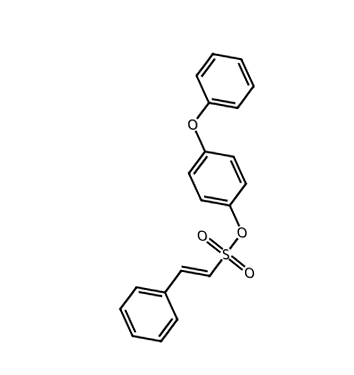 O=S(=O)(/C=C/c1ccccc1)Oc1ccc(Oc2ccccc2)cc1